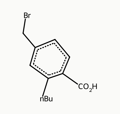 CCCCc1cc(CBr)ccc1C(=O)O